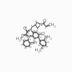 C=CC(=O)N1CC(Cn2c(=O)c(=O)n(-c3c(C)cccc3C(C)C)c3cc(-c4cc(C)ccc4N)c(Cl)cc32)C1